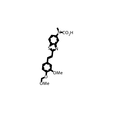 COCOc1ccc(C=Cc2nc3cc(N(C)C(=O)O)ccc3s2)cc1OC